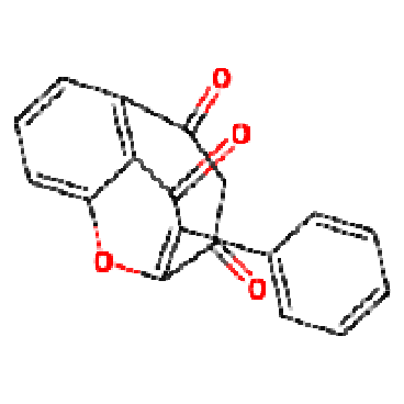 O=C1CC(=O)c2cccc3oc1c(-c1ccccc1)c(=O)c23